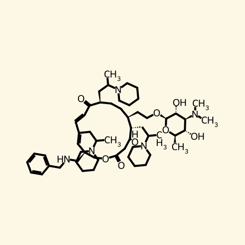 CC(CC1=C\[C@H](CNCc2ccccc2)COC(=O)C[C@@H](O)[C@@H](CC(C)N2CCCCC2)[C@H](CCO[C@@H]2O[C@H](C)[C@@H](O)[C@H](N(C)C)[C@H]2O)CC[C@H](CC(C)N2CCCCC2)C(=O)\C=C\1)N1CCCCC1